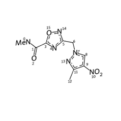 CNC(=O)c1nc(Cn2cc([N+](=O)[O-])c(C)n2)no1